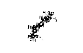 CCc1cc(O)c(F)cc1-c1ccc2c(-c3nc4c([nH]3)CCN(C(=O)N/C(C)=C/N(C)C(=O)N(C)C=O)C4)n[nH]c2c1